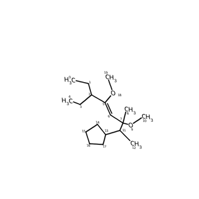 CCC(CC)/C(=C/C(C)(OC)C(C)C1CCCC1)OC